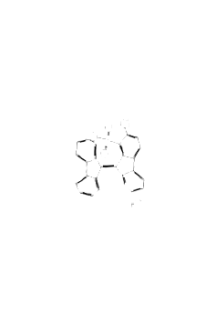 O=S(=O)([O-])c1c(Cl)ccc2c1C(=C1c3ccccc3-c3ccccc31)c1ccccc1-2.[K+]